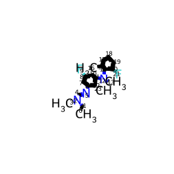 CCN(C)C=Nc1cc(F)cc(N(C)c2c(C)cccc2F)c1C